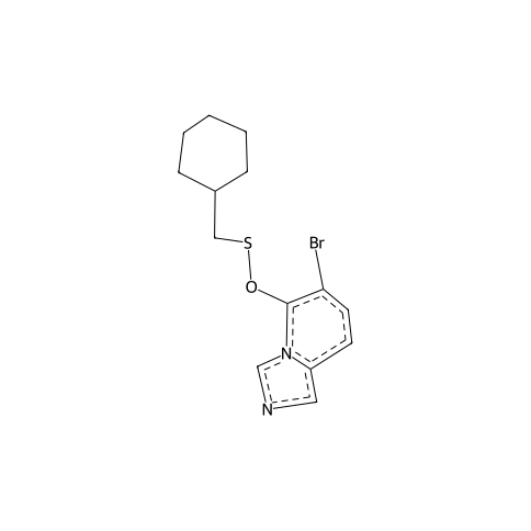 Brc1ccc2cncn2c1OSCC1CCCCC1